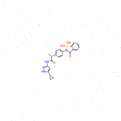 CC(C(=O)Nc1cc(C2CC2)[nH]n1)c1ccc(N2C(=O)c3ccccc3S2(O)O)cc1